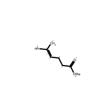 CCC/C(C)=C/CCC(=O)OC